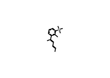 CC=CC=C(C)c1cccc([Si](C)(C)C)c1C